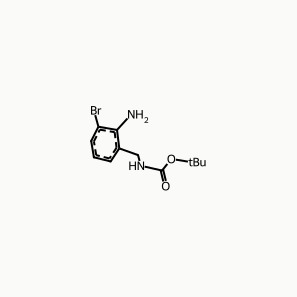 CC(C)(C)OC(=O)NCc1cccc(Br)c1N